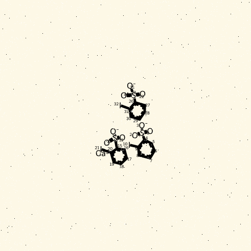 O=S(=O)([O-])c1ccccc1I.O=S(=O)([O-])c1ccccc1I.O=S(=O)([O-])c1ccccc1I.[Ga+3]